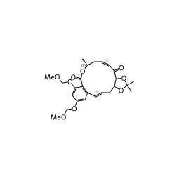 COCOc1cc2c(c(OCOC)c1)C(=O)O[C@@H](C)C/C=C\C(=O)C1OC(C)(C)OC1C/C=C/2